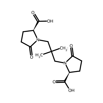 [CH2]C([CH2])(CN1C(=O)CC[C@H]1C(=O)O)CN1C(=O)CC[C@H]1C(=O)O